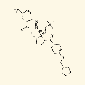 C[Si](C)(C)CCC1(C(=O)O)C(Cn2nnc3ccc(C(F)(F)F)cc3c2=O)CCC1C(=O)c1ccc(OCC2CCCC2)cc1